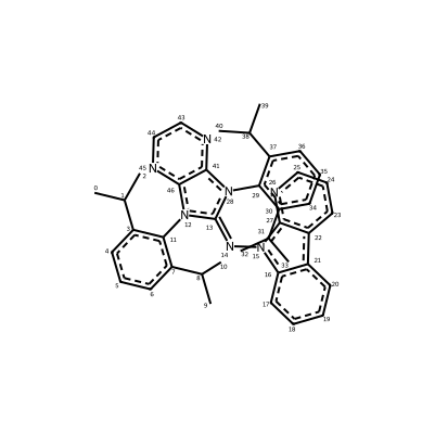 CC(C)c1cccc(C(C)C)c1-n1c(=Nn2c3ccccc3c3cccnc32)n(-c2c(C(C)C)cccc2C(C)C)c2nccnc21